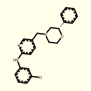 Clc1cccc(Nc2ccc(CN3CCO[C@@H](c4ccccc4)C3)cn2)c1